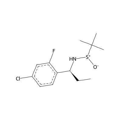 CC[C@H](N[S+]([O-])C(C)(C)C)c1ccc(Cl)cc1F